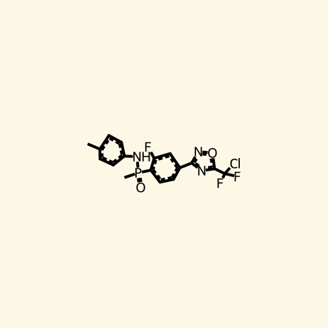 Cc1ccc(NP(C)(=O)c2ccc(-c3noc(C(F)(F)Cl)n3)cc2F)cc1